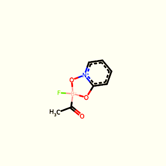 CC(=O)[B-]1(F)Oc2cccc[n+]2O1